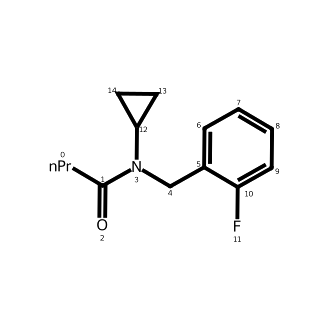 CCCC(=O)N(Cc1ccccc1F)C1CC1